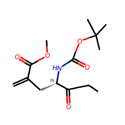 C=C(C[C@H](NC(=O)OC(C)(C)C)C(=O)CC)C(=O)OC